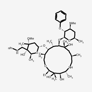 CCCNC[C@]1(O)[C@H](C)O[C@@H](O[C@@H]2[C@H](C)[C@@H](O[C@@H]3O[C@H](C)C[C@H](NC)[C@H]3Oc3ccccc3)[C@](C)(O)C[C@@H](C)CN[C@H](C)[C@@H](O)[C@](C)(O)[C@@H](CC)OC[C@H]2C)C[C@@]1(C)OC